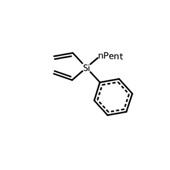 C=C[Si](C=C)(CCCCC)c1ccccc1